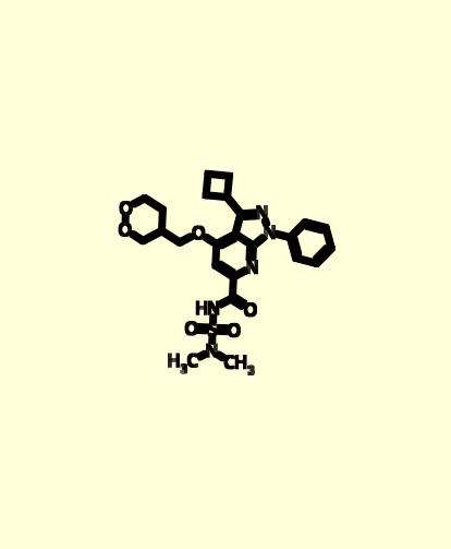 CN(C)S(=O)(=O)NC(=O)c1cc(OCC2CCOOC2)c2c(C3CCC3)nn(-c3ccccc3)c2n1